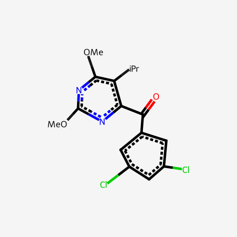 COc1nc(OC)c(C(C)C)c(C(=O)c2cc(Cl)cc(Cl)c2)n1